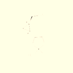 CC(=O)OC[C@@H]1C[C@H]1C1COC(C)(C)O1